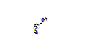 Cc1ccc(/C=C/c2ncc(C(C)(C)C)o2)c(C)c1Nc1nccs1